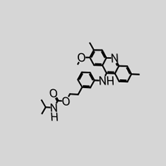 COc1cc2c(Nc3cccc(CCOC(=O)NC(C)C)c3)c3ccc(C)cc3nc2cc1C